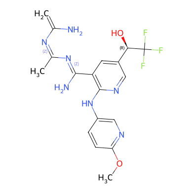 C=C(N)/N=C(C)\N=C(/N)c1cc([C@@H](O)C(F)(F)F)cnc1Nc1ccc(OC)nc1